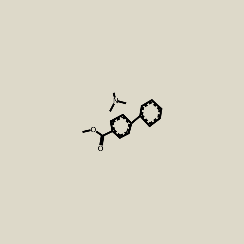 CN(C)C.COC(=O)c1ccc(-c2ccccc2)cc1